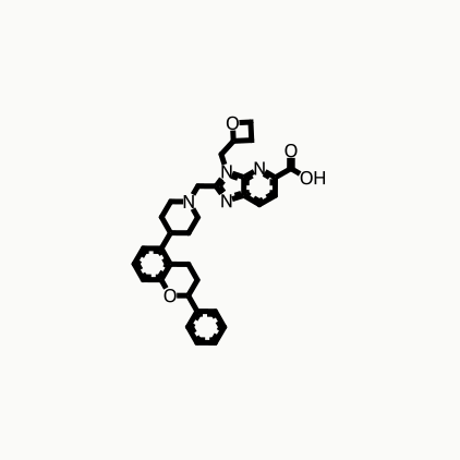 O=C(O)c1ccc2nc(CN3CCC(c4cccc5c4CCC(c4ccccc4)O5)CC3)n(CC3CCO3)c2n1